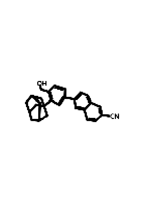 N#Cc1ccc2cc(-c3ccc(CO)c(C45CC6CC(CC(C6)C4)C5)c3)ccc2c1